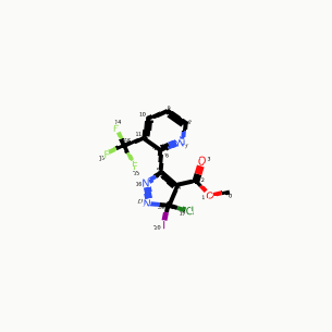 COC(=O)C1=C(c2ncccc2C(F)(F)F)N=NC1(Cl)I